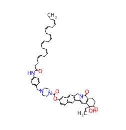 CC/C=C\C/C=C\C/C=C\C/C=C\C/C=C\C/C=C\CCC(=O)Nc1ccc(CN2CCN(C(=O)Oc3ccc4cc5c(cc4c3)Cn3c-5cc4c(c3=O)CCC(=O)[C@]4(O)CC)CC2)cc1